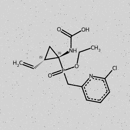 C=C[C@@H]1C[C@]1(NC(=O)O)P(=O)(Cc1cccc(Cl)n1)OCC